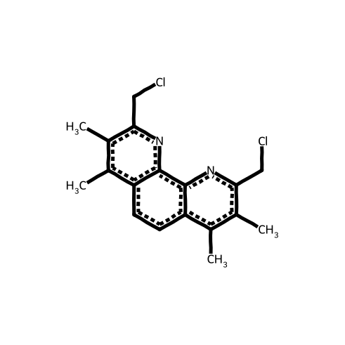 Cc1c(CCl)nc2c(ccc3c(C)c(C)c(CCl)nc32)c1C